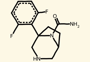 NC(=O)N1C2CCC1(c1c(F)cccc1F)CNC2